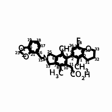 Cc1c(-c2c(C)c3c(c(C)c2CC(=O)O)CN(Cc2cccc4c2OCO4)C3)cc(F)c2c1CCCO2